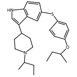 CCC(C)Oc1ccc(Sc2ccc3[nH]cc(C4CCN(C(C)CC)CC4)c3c2)cc1